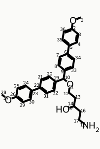 COc1ccc(-c2ccc(C(OCCC(O)CCN)c3ccc(-c4ccc(OC)cc4)cc3)cc2)cc1